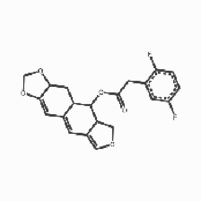 O=C(Cc1cc(F)ccc1F)OC1C2COC=C2C=C2C=C3OCOC3CC21